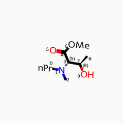 CCCN(C)[C@H](C(=O)OC)[C@@H](C)O